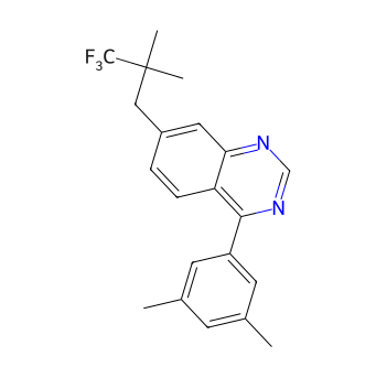 Cc1cc(C)cc(-c2ncnc3cc(CC(C)(C)C(F)(F)F)ccc23)c1